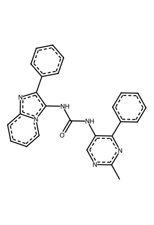 Cc1ncc(NC(=O)Nc2c(-c3ccccc3)nc3ccccn23)c(-c2ccccc2)n1